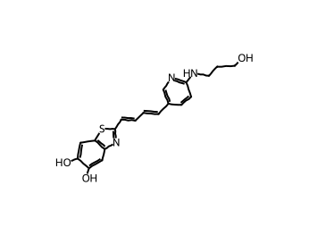 OCCCNc1ccc(/C=C/C=C/c2nc3cc(O)c(O)cc3s2)cn1